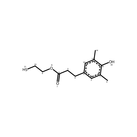 Cc1cc(CCC(=O)OCCS)cc(C)c1O